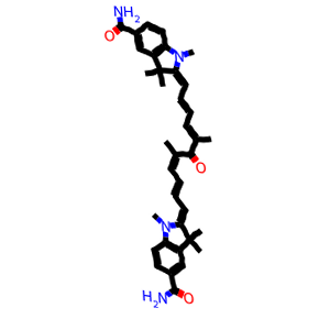 CC(=CC=CC=C1N(C)c2ccc(C(N)=O)cc2C1(C)C)C(=O)C(C)=CC=CC=C1N(C)c2ccc(C(N)=O)cc2C1(C)C